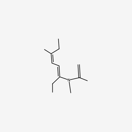 C=C(C)N(C)/C(=C/C=C(/C)CC)CC